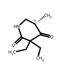 CCC1(CC)C(=O)NC[C@H](C)C1=O